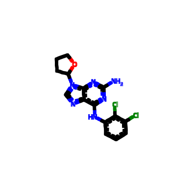 Nc1nc(Nc2cccc(Cl)c2Cl)c2ncn(C3CCCO3)c2n1